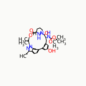 C#Cc1nn2c3cc(ccc13)-c1cc(O)cc(c1)C[C@H](NC(=O)OC(C)(C)C)C(=O)N1CCC[C@H](N1)C(=O)OCC(C)(C)C2